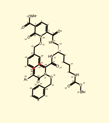 COC(=O)c1ccc(C(=O)NC[C@H](CCCCNC(=O)OC(C)(C)C)NC(=O)c2ccc(C(C)=O)c(=O)n2OCc2ccccc2)n(OCc2ccccc2)c1=O